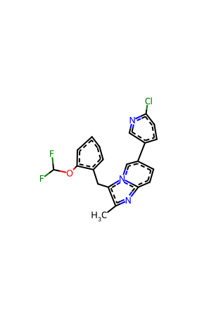 Cc1nc2ccc(-c3ccc(Cl)nc3)cn2c1Cc1ccccc1OC(F)F